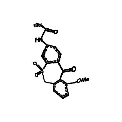 COc1cccc2c1C(=O)c1ccc(NC(=O)C(C)(C)C)cc1S(=O)(=O)C2